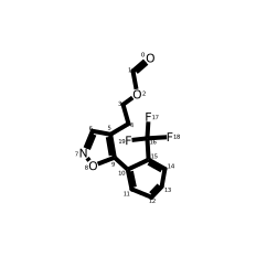 O=COCCc1cnoc1-c1ccccc1C(F)(F)F